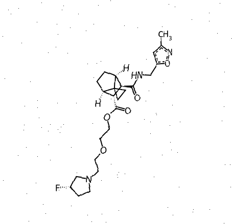 Cc1cc(CNC(=O)[C@H]2[C@H](C(=O)OCCOCCN3CC[C@H](F)C3)[C@H]3CC[C@@H]2C32CC2)on1